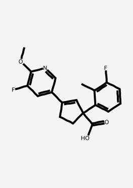 COc1ncc(C2=CC(C(=O)O)(c3cccc(F)c3C)CC2)cc1F